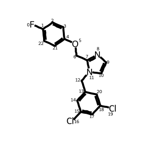 Fc1ccc(OCc2nccn2Cc2cc(Cl)cc(Cl)c2)cc1